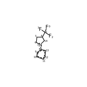 FC(F)(F)C1CCN(c2cc[c]cc2)C1